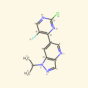 CC(C)n1ncc2ncc(-c3nc(Cl)ncc3F)cc21